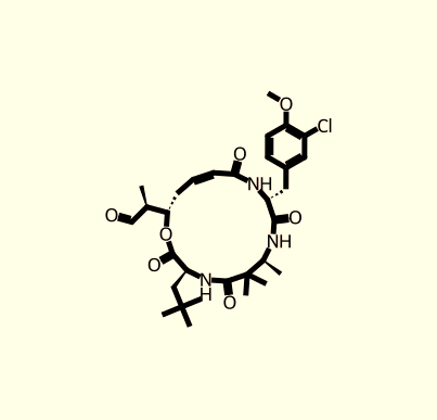 COc1ccc(C[C@H]2NC(=O)C=CC[C@@H]([C@H](C)C=O)OC(=O)[C@H](CC(C)(C)C)NC(=O)C(C)(C)[C@H](C)NC2=O)cc1Cl